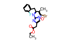 CCOC(=O)CC1=C[N+]2([O-])C(=N1)N=C(Cc1ccccc1F)C(C)=C2Br